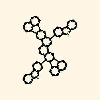 c1cc2c3c(cccc3c1)-c1cc3c(cc1-2)c(-c1ccc2c(c1)sc1ccccc12)cc1c2cc4c(c(-c5ccc6c(c5)sc5ccccc56)c2ccc31)-c1cccc2cccc-4c12